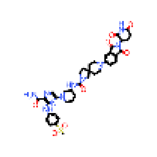 CS(=O)(=O)c1ccc(Nc2nc(N3CCC[C@@H](NC(=O)N4CCC5(CCN(c6ccc7c(c6)C(=O)N(C6CCC(=O)NC6=O)C7=O)CC5)C4)C3)cnc2C(N)=O)cc1